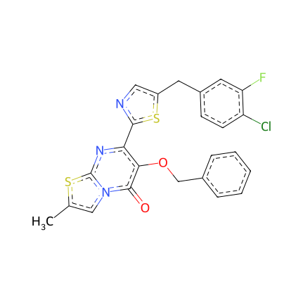 Cc1cn2c(=O)c(OCc3ccccc3)c(-c3ncc(Cc4ccc(Cl)c(F)c4)s3)nc2s1